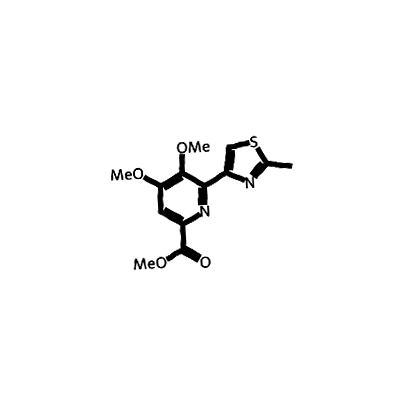 COC(=O)c1cc(OC)c(OC)c(-c2csc(C)n2)n1